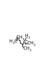 CCC(C[CH2][In]([CH3])[CH3])N(CC)CC